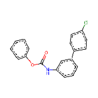 O=C(Nc1cccc(-c2ccc(Cl)cc2)c1)Oc1ccccc1